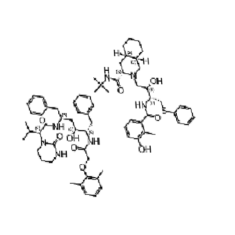 Cc1c(O)cccc1C(=O)N[C@@H](CSc1ccccc1)[C@H](O)CN1C[C@H]2CCCC[C@H]2C[C@H]1C(=O)NC(C)(C)C.Cc1cccc(C)c1OCC(=O)N[C@@H](Cc1ccccc1)[C@@H](O)C[C@H](Cc1ccccc1)NC(=O)[C@H](C(C)C)N1CCCNC1=O